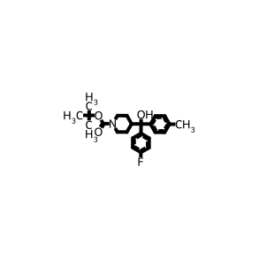 Cc1ccc(C(O)(c2ccc(F)cc2)C2CCN(C(=O)OC(C)(C)C)CC2)cc1